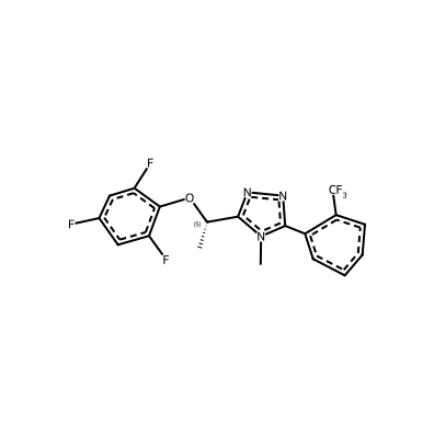 C[C@H](Oc1c(F)cc(F)cc1F)c1nnc(-c2ccccc2C(F)(F)F)n1C